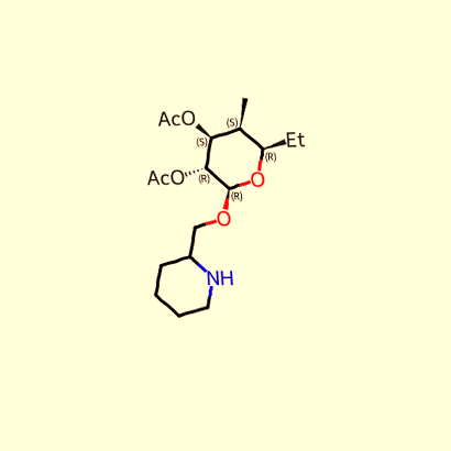 CC[C@H]1O[C@@H](OCC2CCCCN2)[C@H](OC(C)=O)[C@@H](OC(C)=O)[C@H]1C